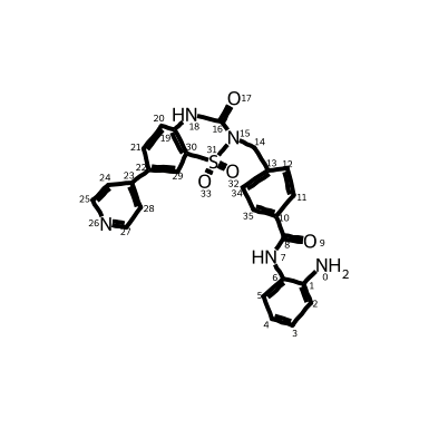 Nc1ccccc1NC(=O)c1ccc(CN2C(=O)Nc3ccc(-c4ccncc4)cc3S2(=O)=O)cc1